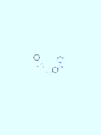 CCN(c1ccc(NC(=O)OC2CC(=O)N(c3ccccc3)C2)cc1)c1nc(C)cc(C)n1